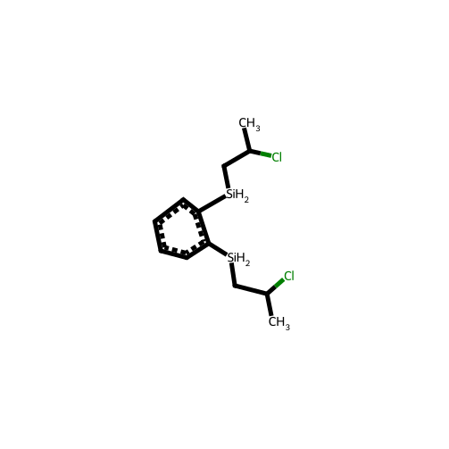 CC(Cl)C[SiH2]c1ccccc1[SiH2]CC(C)Cl